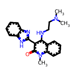 CN(C)CCNc1c(-c2nc3ccccc3[nH]2)c(=O)n(C)c2ccccc12